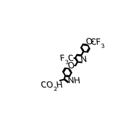 O=C(O)Cc1c[nH]c2cc(OCc3cnc(-c4ccc(OC(F)(F)F)cc4)cc3C(F)(F)F)ccc12